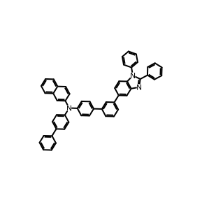 c1ccc(-c2ccc(N(c3ccc(-c4cccc(-c5ccc6c(c5)nc(-c5ccccc5)n6-c5ccccc5)c4)cc3)c3ccc4ccccc4c3)cc2)cc1